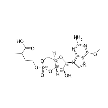 COc1nc(N)nc2c1ncn2[C@@H]1O[C@@H]2CO[P@@](=O)(OCCC(C)C(=O)O)O[C@H]2[C@@H]1O